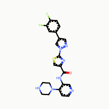 O=C(Nc1cnccc1N1CCNCC1)c1csc(-n2cc(-c3ccc(F)c(F)c3)cn2)n1